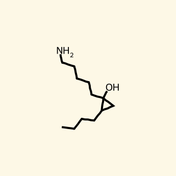 CCCCC1CC1(O)CCCCCN